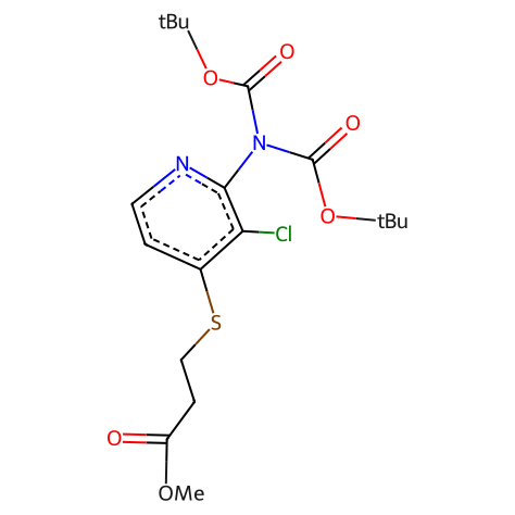 COC(=O)CCSc1ccnc(N(C(=O)OC(C)(C)C)C(=O)OC(C)(C)C)c1Cl